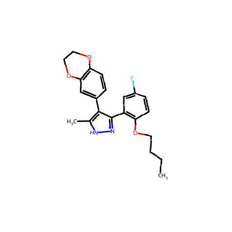 CCCCOc1ccc(F)cc1-c1n[nH]c(C)c1-c1ccc2c(c1)OCCO2